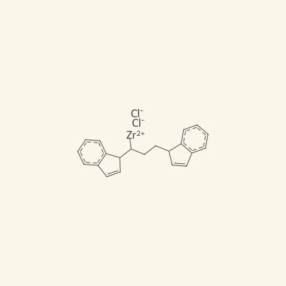 [Cl-].[Cl-].[Zr+2][CH](CCC1C=Cc2ccccc21)C1C=Cc2ccccc21